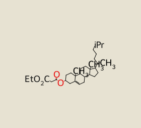 CCOC(=O)CC(=O)OC1CCC2(C)C(=CCC3C2CCC2(C)C(C(C)CCCC(C)C)CCC32)C1